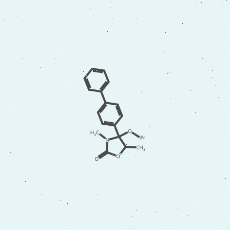 CC(C)OC1(c2ccc(-c3ccccc3)cc2)C(C)OC(=O)N1C